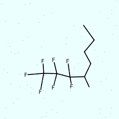 CCCCC(C)C(F)(F)C(F)(F)C(F)(F)F